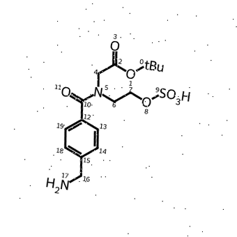 CC(C)(C)OC(=O)CN(CCOS(=O)(=O)O)C(=O)c1ccc(CN)cc1